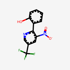 O=[N+]([O-])c1cc(C(F)(F)F)cnc1-c1ccccc1O